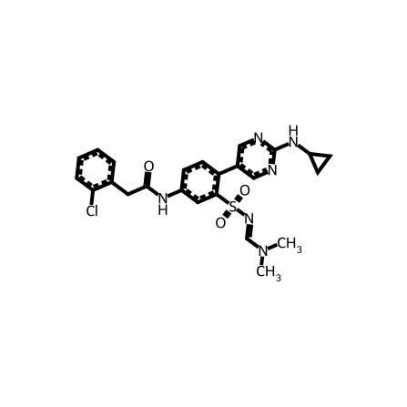 CN(C)C=NS(=O)(=O)c1cc(NC(=O)Cc2ccccc2Cl)ccc1-c1cnc(NC2CC2)nc1